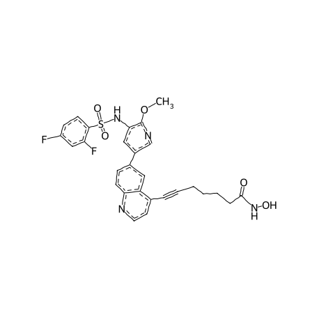 COc1ncc(-c2ccc3nccc(C#CCCCCC(=O)NO)c3c2)cc1NS(=O)(=O)c1ccc(F)cc1F